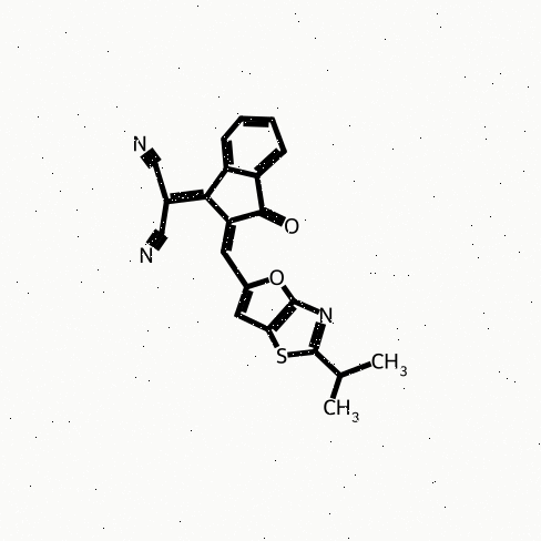 CC(C)c1nc2oc(/C=C3\C(=O)c4ccccc4C3=C(C#N)C#N)cc2s1